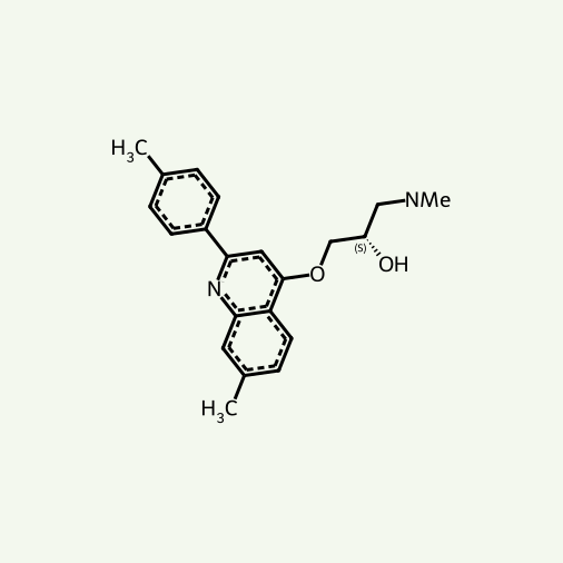 CNC[C@H](O)COc1cc(-c2ccc(C)cc2)nc2cc(C)ccc12